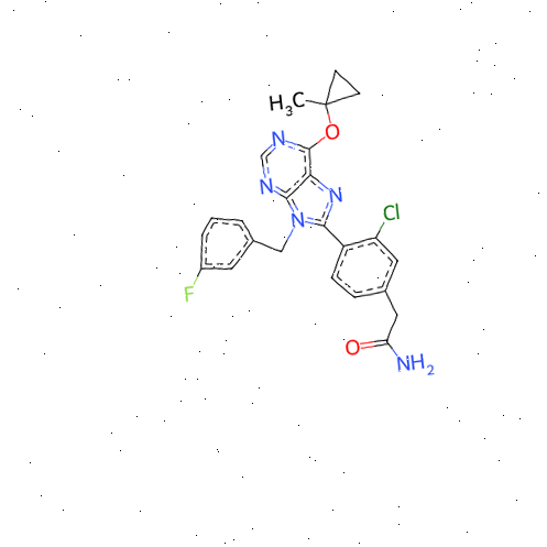 CC1(Oc2ncnc3c2nc(-c2ccc(CC(N)=O)cc2Cl)n3Cc2cccc(F)c2)CC1